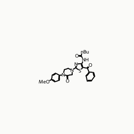 CCCCC(=O)Nc1nc(N2CCN(c3ccc(OC)cc3)C(=O)C2)sc1C(=O)c1ccccc1